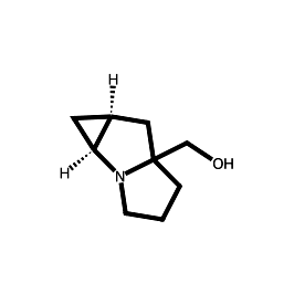 OCC12CCCN1[C@H]1C[C@H]1C2